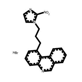 Br.O=[N+]([O-])c1nccn1CCCc1cccc2ncc3ccccc3c12